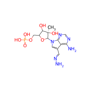 C[C@@]1(O)C(O)C(COP(=O)(O)O)OC1n1cc(/C=N/N)c2c(N)ncnc21